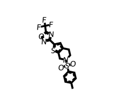 Cc1ccc(S(=O)(=O)N2CCc3cc(-c4noc(C(F)(F)F)n4)sc3C2)cc1